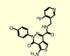 Nc1scc2c(C(=O)NCc3cnccc3[18F])nn(-c3ccc(Cl)cc3)c(=O)c12